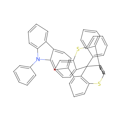 c1ccc(-c2cccc3c2C2(c4ccccc4Sc4ccccc42)c2c(cccc2-c2ccc4c5ccccc5n(-c5ccccc5)c4c2)S3)cc1